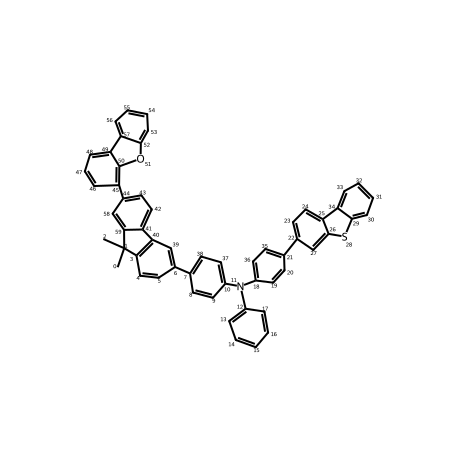 CC1(C)c2ccc(-c3ccc(N(c4ccccc4)c4ccc(-c5ccc6c(c5)sc5ccccc56)cc4)cc3)cc2-c2ccc(-c3cccc4c3oc3ccccc34)cc21